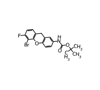 CC(C)(C)OC(=O)Nc1ccc2c(c1)Cc1ccc(F)c(Br)c1O2